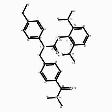 CCc1ccc(N(Cc2ccc(C(=O)N(C)C)cc2)C(=O)Nc2c(C(C)C)cccc2C(C)C)cc1